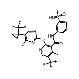 Cc1c(C(F)(F)F)nnc(Oc2ccc(C3(C(F)(F)F)CC3)c(F)n2)c1C(=O)Nc1cccc(S(C)(=N)=O)c1